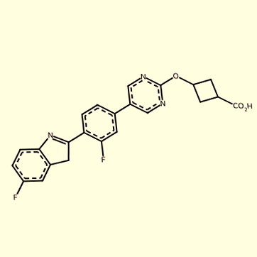 O=C(O)C1CC(Oc2ncc(-c3ccc(C4=Nc5ccc(F)cc5C4)c(F)c3)cn2)C1